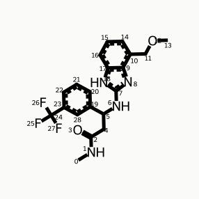 CNC(=O)CC(Nc1nc2c(COC)cccc2[nH]1)c1cccc(C(F)(F)F)c1